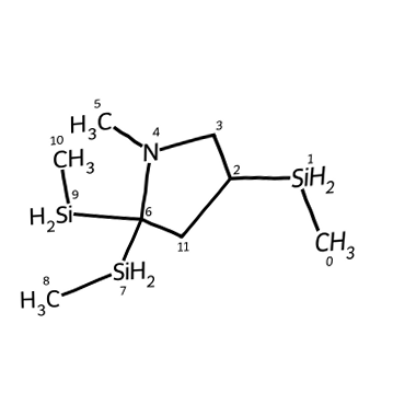 C[SiH2]C1CN(C)C([SiH2]C)([SiH2]C)C1